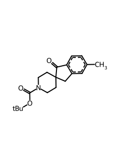 Cc1ccc2c(c1)CC1(CCN(C(=O)OC(C)(C)C)CC1)C2=O